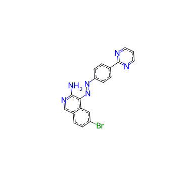 Nc1ncc2ccc(Br)cc2c1/N=N/c1ccc(-c2ncccn2)cc1